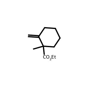 C=C1CCCCC1(C)C(=O)OCC